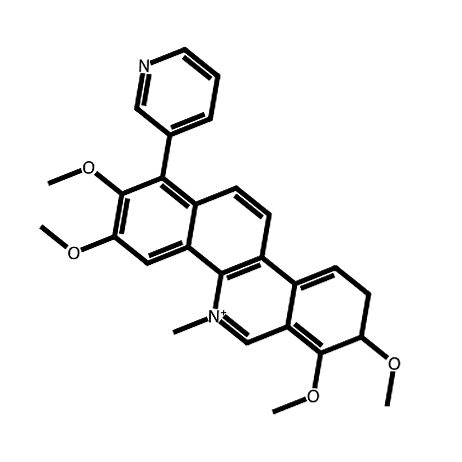 COC1=c2c[n+](C)c3c(ccc4c(-c5cccnc5)c(OC)c(OC)cc43)c2=CCC1OC